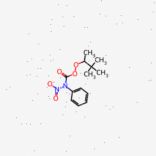 CC(OOC(=O)N(c1ccccc1)[N+](=O)[O-])C(C)(C)C